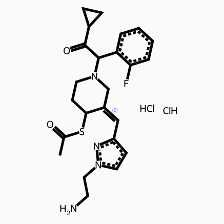 CC(=O)SC1CCN(C(C(=O)C2CC2)c2ccccc2F)C/C1=C/c1ccn(CCN)n1.Cl.Cl